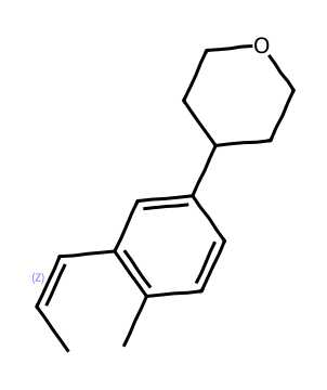 C/C=C\c1cc(C2CCOCC2)ccc1C